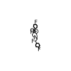 O=S(=O)(c1ccc(F)cc1)C1(F)CCN(CC(F)c2ccc(F)cc2)CC1